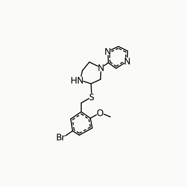 COc1ccc(Br)cc1CSC1CN(c2cnccn2)CCN1